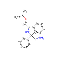 CC(C)O[SiH2]CNC(CN)(c1ccccc1)c1ccccc1